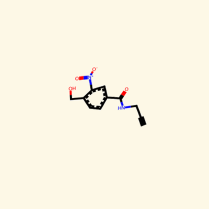 C#CCNC(=O)c1ccc(CO)c([N+](=O)[O-])c1